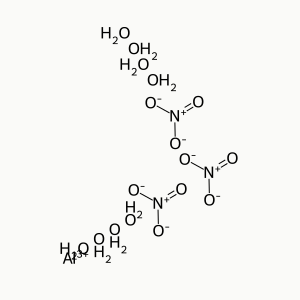 O.O.O.O.O.O.O.O.O=[N+]([O-])[O-].O=[N+]([O-])[O-].O=[N+]([O-])[O-].[Al+3]